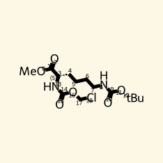 COC(=O)[C@H](CCCCNC(=O)OC(C)(C)C)NC(=O)OCCl